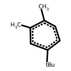 Cc1ccc(C(C)(C)C)cc1C